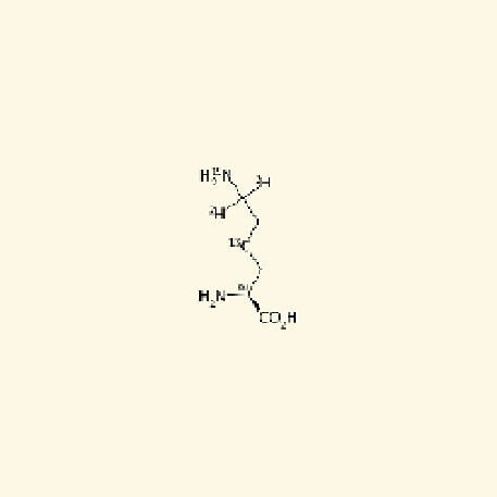 [2H]C([2H])([15NH2])C[13CH2]C[C@H](N)C(=O)O